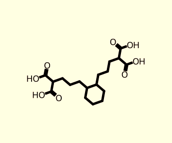 O=C(O)C(CCCC1CCCCC1CCCC(C(=O)O)C(=O)O)C(=O)O